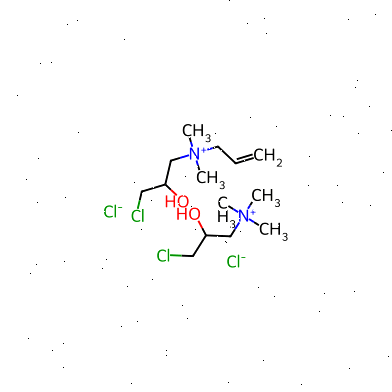 C=CC[N+](C)(C)CC(O)CCl.C[N+](C)(C)CC(O)CCl.[Cl-].[Cl-]